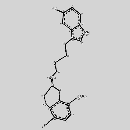 CC(=O)Oc1ccc(F)c2c1C[C@H](NCCCCc1c[nH]c3ccc(F)cc13)CO2